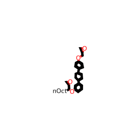 CCCCCCCCC(Oc1cccc(C2=CC=C(c3ccc(OCC4CO4)cc3)CC2)c1)C1CO1